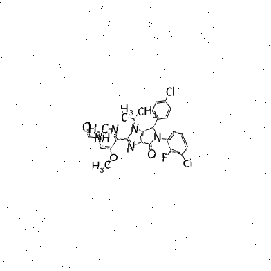 C/N=C(\C(=C/NC=O)OC)c1nc2c(n1C(C)C)C(c1ccc(Cl)cc1)N(c1cccc(Cl)c1F)C2=O